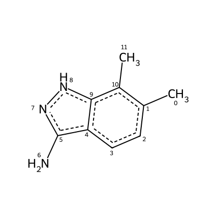 Cc1ccc2c(N)n[nH]c2c1C